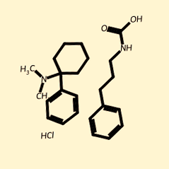 CN(C)C1(c2ccccc2)CCCCC1.Cl.O=C(O)NCCCc1ccccc1